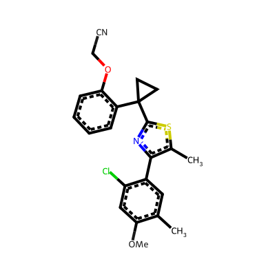 COc1cc(Cl)c(-c2nc(C3(c4ccccc4OCC#N)CC3)sc2C)cc1C